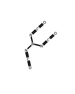 O=C=[N][Bi]([N]=C=O)[N]=C=O